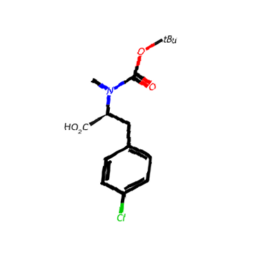 CN(C(=O)OC(C)(C)C)[C@@H](Cc1ccc(Cl)cc1)C(=O)O